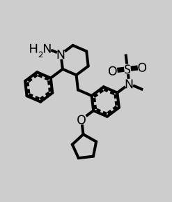 CN(c1ccc(OC2CCCC2)c(CC2CCCN(N)C2c2ccccc2)c1)S(C)(=O)=O